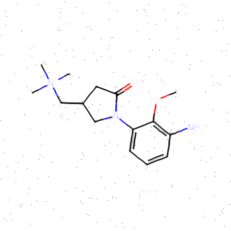 COc1c(N)cccc1N1CC(C[N+](C)(C)C)CC1=O